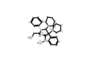 CCC(=O)OC(N1CCCC[C@H]1c1ccccc1)C(C(=O)OC)(c1ccccc1)N1CCCCC1